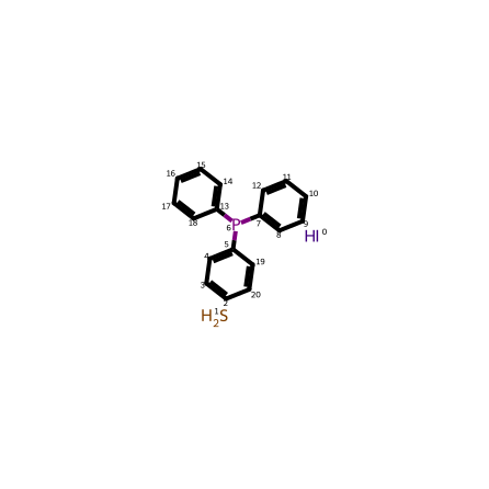 I.S.c1ccc(P(c2ccccc2)c2ccccc2)cc1